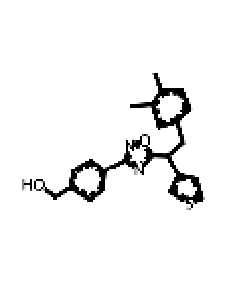 Cc1ccc(CC(c2ccsc2)c2nc(-c3ccc(CO)cc3)no2)cc1C